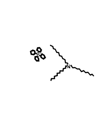 CCCCCCCCCCCC[N+](C)(CCCCCCCCCCCC)CCCCCCCCCCCC.c1ccc([B-](c2ccccc2)(c2ccccc2)c2ccccc2)cc1